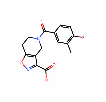 Cc1cc(C(=O)N2CCc3onc(C(=O)O)c3C2)ccc1Br